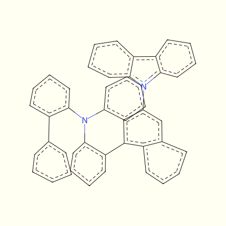 c1ccc(-c2ccccc2N(c2ccccc2)c2ccccc2-c2cc(-n3c4ccccc4c4ccccc43)cc3ccccc23)cc1